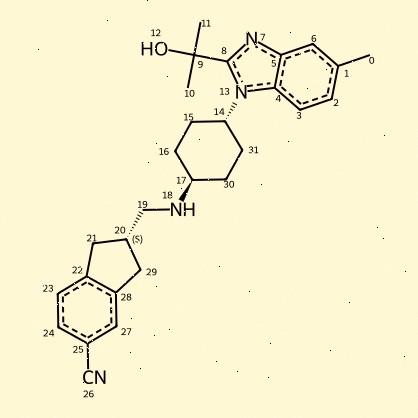 Cc1ccc2c(c1)nc(C(C)(C)O)n2[C@H]1CC[C@H](NC[C@H]2Cc3ccc(C#N)cc3C2)CC1